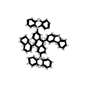 c1ccc2c(c1)Oc1ccccc1N2c1ccc2c(-c3cccc4ccccc34)c3cc(N4c5ccccc5Oc5ccccc54)ccc3c(-c3ccc4sc5ccccc5c4c3)c2c1